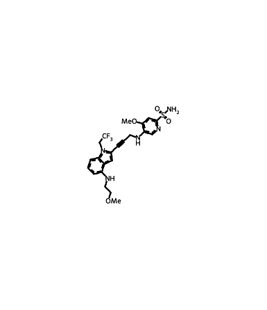 COCCNc1cccc2c1cc(C#CCNc1cnc(S(N)(=O)=O)cc1OC)n2CC(F)(F)F